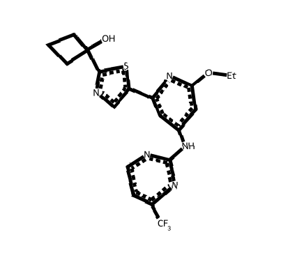 CCOc1cc(Nc2nccc(C(F)(F)F)n2)cc(-c2cnc(C3(O)CCC3)s2)n1